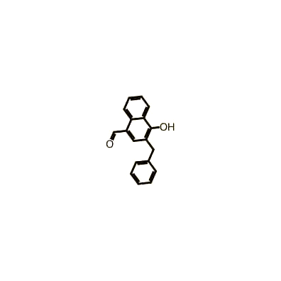 O=Cc1cc(Cc2ccccc2)c(O)c2ccccc12